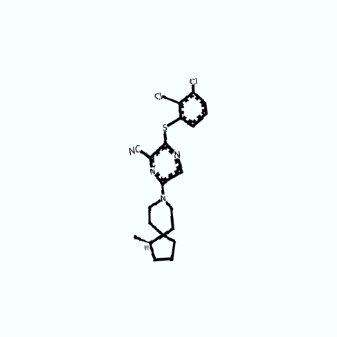 C[C@@H]1CCCC12CCN(c1cnc(Sc3cccc(Cl)c3Cl)c(C#N)n1)CC2